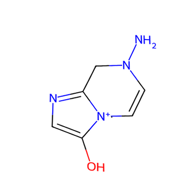 NN1C=C[N+]2C(O)=CN=C2C1